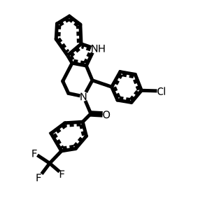 O=C(c1ccc(C(F)(F)F)cc1)N1CCc2c([nH]c3ccccc23)C1c1ccc(Cl)cc1